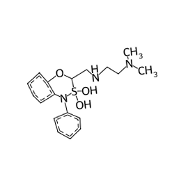 CN(C)CCNCC1Oc2ccccc2N(c2ccccc2)S1(O)O